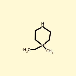 [CH2]C[N+]1(C)CCNCC1